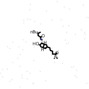 CCCC[C@H](C)CC(=O)/C=C/[C@@H]1[C@H]2CC(CCCCC(=O)N(C)C)=C[C@H]2C[C@H]1O